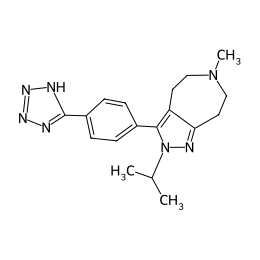 CC(C)n1nc2c(c1-c1ccc(-c3nnn[nH]3)cc1)CCN(C)CC2